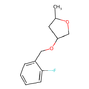 CC1CC(OCc2ccccc2F)CO1